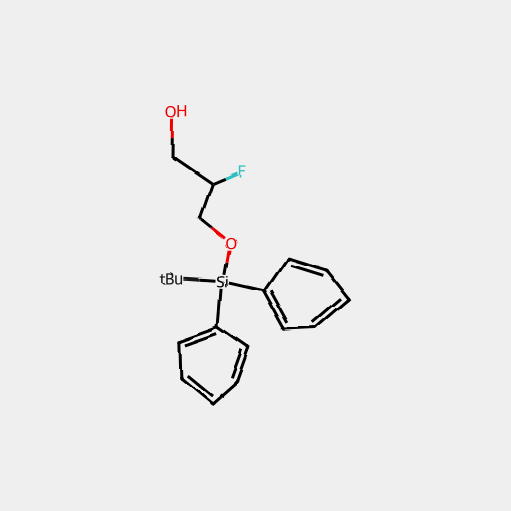 CC(C)(C)[Si](OCC(F)CO)(c1ccccc1)c1ccccc1